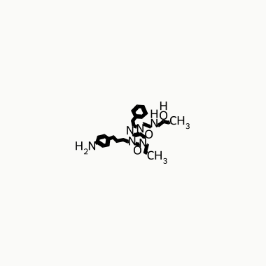 CCCn1c(=O)c2c(nc(Cc3ccccc3)n2CCNCC(O)CC)n(CCCCc2ccc(N)cc2)c1=O